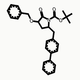 CC(C)(C)OC(=O)N1C(=O)C(OCc2ccccc2)CC1Cc1ccc(-c2ccccc2)cc1